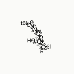 CC(C)(C)OC(=O)N1CCN(c2ccc(Oc3cc(CO)cc(-c4cc(F)cc(Cl)c4)n3)cn2)CC1